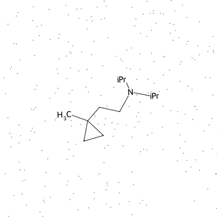 CC(C)N(CCC1(C)CC1)C(C)C